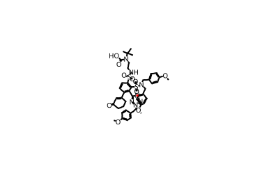 COc1ccc(CN(Cc2ccc(OC)cc2)S(=O)(=O)c2c(S(=O)(=O)NCCN(C(=O)O)C(C)(C)C)ccc(C3=CC(=O)CCC3)c2-c2nnn(Cc3ccc(OC)cc3)n2)cc1